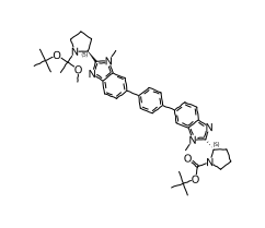 COC(C)(OC(C)(C)C)N1CCC[C@H]1c1nc2ccc(-c3ccc(-c4ccc5nc([C@@H]6CCCN6C(=O)OC(C)(C)C)n(C)c5c4)cc3)cc2n1C